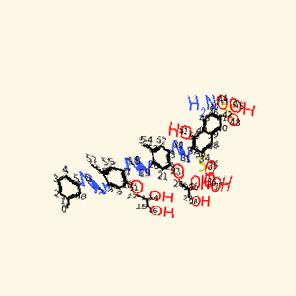 Cc1cccc(N=Nc2cc(OCC(O)CO)c(N=Nc3cc(OCC(O)CO)c(N=Nc4c(SOOO)cc5cc(S(=O)(=O)O)c(N)cc5c4O)cc3C)cc2C)c1